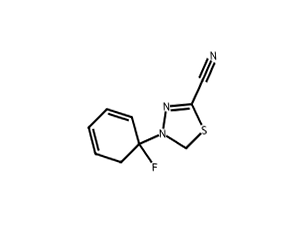 N#CC1=NN(C2(F)C=CC=CC2)CS1